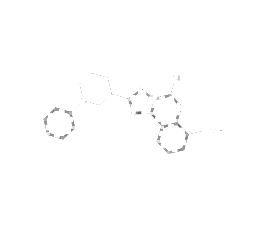 COc1cccc2c1nc(N)n1nc(C3CCCN(c4ccccc4)C3)nc21